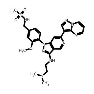 COc1cc(CNS(C)(=O)=O)ccc1-n1nc(NCCN(C)C)c2cnc(-c3cnn4cccnc34)cc21